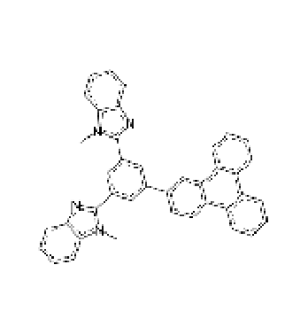 Cn1c(-c2cc(-c3ccc4c5ccccc5c5ccccc5c4c3)cc(-c3nc4ccccc4n3C)c2)nc2ccccc21